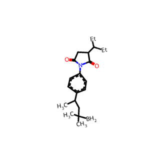 BC(C)(C)CC(C)c1ccc(N2C(=O)CC(C(CC)CC)C2=O)cc1